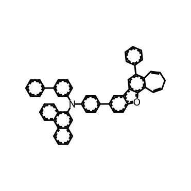 C1=Cc2c(-c3ccccc3)cc3c(oc4ccc(-c5ccc(N(c6cccc(-c7ccccc7)c6)c6cc7ccccc7c7ccccc67)cc5)cc43)c2C=CC1